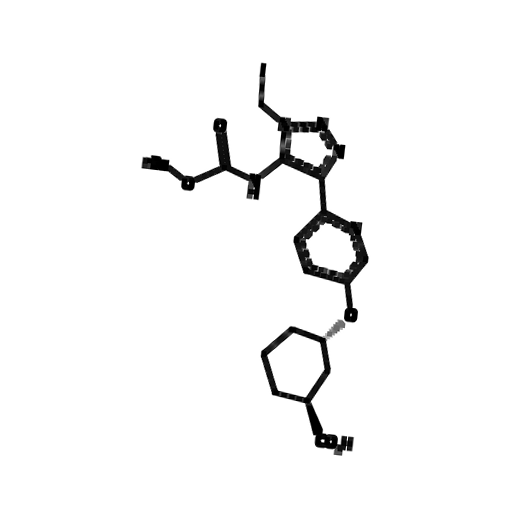 CCCCOC(=O)Nc1c(-c2ccc(O[C@H]3CCC[C@H](C(=O)O)C3)cn2)nnn1CI